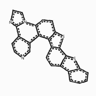 c1ccc2c(c1)sc1c2ccc2c1sc1ccc3c(c4cnccc4c4nccn34)c12